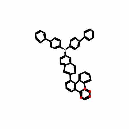 c1ccc(-c2ccc(N(c3ccc(-c4ccccc4)cc3)c3ccc4cc(-c5cccc(-c6ccccc6)c5-c5ccccc5-c5ccccc5)ccc4c3)cc2)cc1